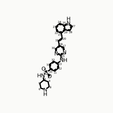 O=S(=O)(NC1CCNCC1)c1ccc(Nc2ncc(C=Cc3cccc4[nH]ccc34)cn2)cc1